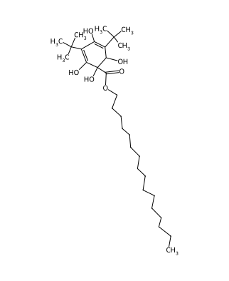 CCCCCCCCCCCCCCCCOC(=O)C1(O)C(O)=C(C(C)(C)C)C(O)=C(C(C)(C)C)C1O